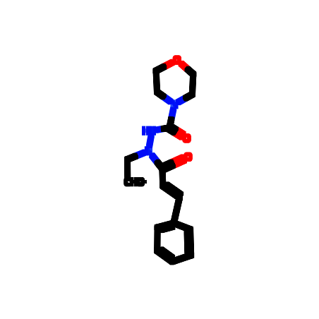 O=[C]CN(NC(=O)N1CCOCC1)C(=O)C=Cc1ccccc1